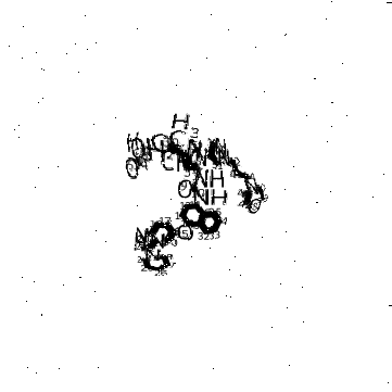 CC(C)(C)c1cc(NC(=O)N[C@H]2CC[C@@H](Oc3ccc4nnc(N5CCCCC5)n4c3)c3ccccc32)n(-c2cnn(CCCN3CCOCC3)c2)n1.O=CO